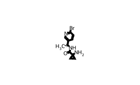 C[C@@H](NC(=O)C1(N)CC1)c1ccc(Br)nc1